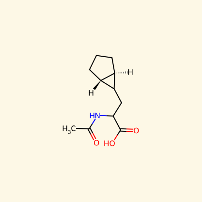 CC(=O)NC(CC1[C@@H]2CCC[C@@H]12)C(=O)O